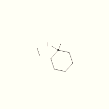 FC1(F)CCCC[C@@H]1CI